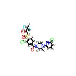 CC1[C@H](C)N(C(=O)c2ccc([S+]([O-])CC(=O)C(C)(F)F)c(Cl)c2)CCN1c1cccc(Cl)n1